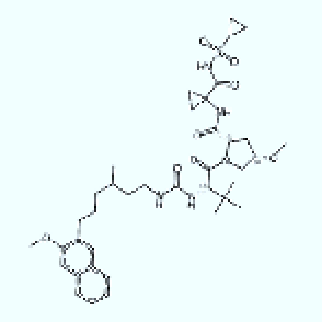 COc1cc2ccccc2cc1CCCC(C)CCNC(=O)N[C@H](C(=O)N1C[C@@H](OC)C[C@H]1C(=O)NC1(C(=O)NS(=O)(=O)C2CC2)CC1)C(C)(C)C